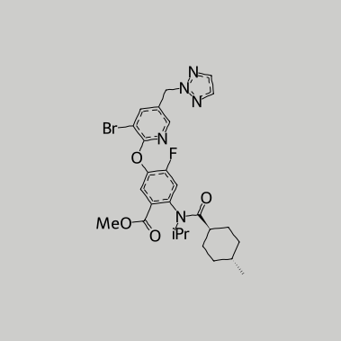 COC(=O)c1cc(Oc2ncc(Cn3nccn3)cc2Br)c(F)cc1N(C(=O)[C@H]1CC[C@H](C)CC1)C(C)C